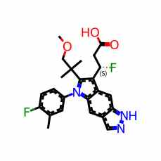 COCC(C)(C)c1c([C@@H](F)CC(=O)O)c2cc3[nH]ncc3cc2n1-c1ccc(F)c(C)c1